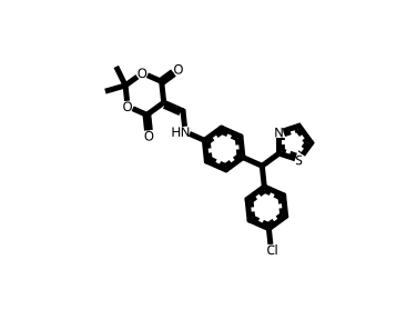 CC1(C)OC(=O)C(=CNc2ccc(C(c3ccc(Cl)cc3)c3nccs3)cc2)C(=O)O1